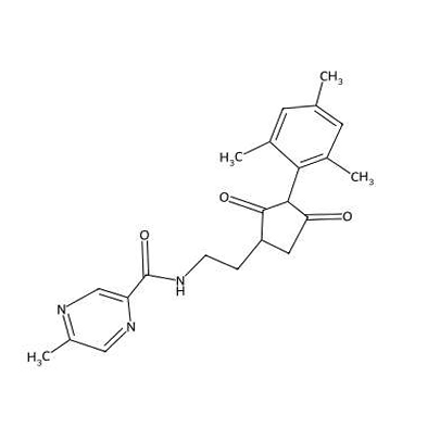 Cc1cc(C)c(C2C(=O)CC(CCNC(=O)c3cnc(C)cn3)C2=O)c(C)c1